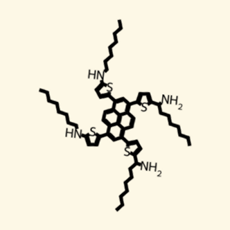 CCCCCCCCNc1ccc(-c2cc(-c3ccc(C(N)CCCCCCC)s3)c3ccc4c(-c5ccc(C(N)CCCCCCC)s5)cc(-c5ccc(NCCCCCCCC)s5)c5ccc2c3c54)s1